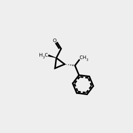 CC(c1ccccc1)[C@@H]1C[C@]1(C)C=O